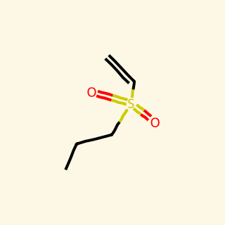 C=CS(=O)(=O)CCC